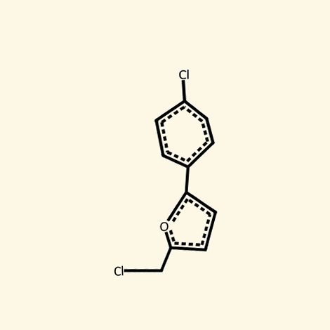 ClCc1ccc(-c2ccc(Cl)cc2)o1